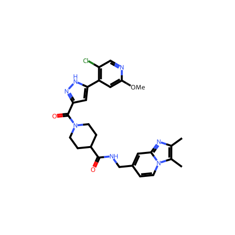 COc1cc(-c2cc(C(=O)N3CCC(C(=O)NCc4ccn5c(C)c(C)nc5c4)CC3)n[nH]2)c(Cl)cn1